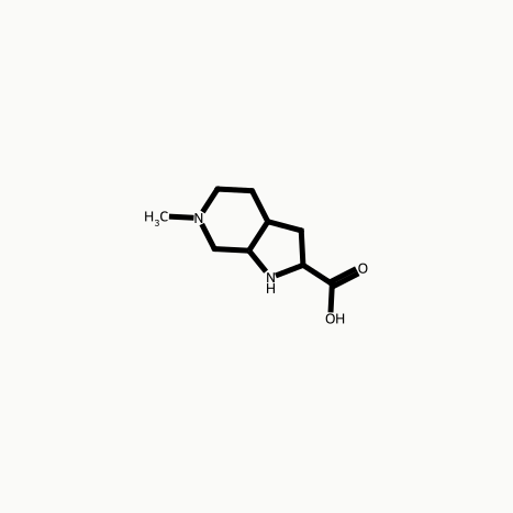 CN1CCC2CC(C(=O)O)NC2C1